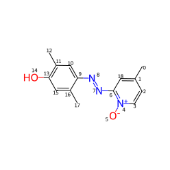 Cc1cc[n+]([O-])c(N=Nc2cc(C)c(O)cc2C)c1